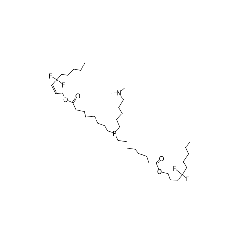 CCCCCC(F)(F)/C=C\COC(=O)CCCCCCCP(CCCCCCCC(=O)OC/C=C\C(F)(F)CCCCC)CCCCCN(C)C